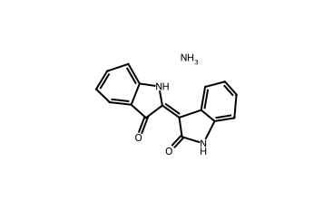 N.O=C1Nc2ccccc2/C1=C1\Nc2ccccc2C1=O